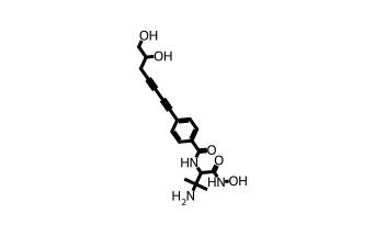 CC(C)(N)C(NC(=O)c1ccc(C#CC#CCC(O)CO)cc1)C(=O)NO